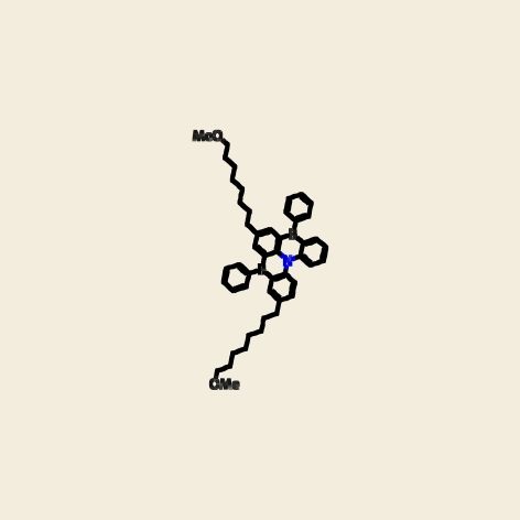 COCCCCCCCCc1ccc2c(c1)B(c1ccccc1)c1cc(CCCCCCCCOC)cc3c1N2c1ccccc1B3c1ccccc1